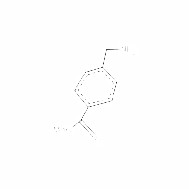 [CH2]OC(=O)c1ccc(CN)cc1